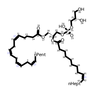 CCCCC/C=C\C/C=C\C/C=C\C/C=C\CCCC(=O)OC[C@H](COP(=O)(O)OC[C@@H](O)CO)OC(=O)CCCCCCC/C=C\CCCCCCC